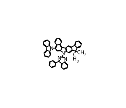 CC1(C)c2ccccc2-c2cc3c4c5ccccc5c(-n5c6ccccc6c6ccccc65)cc4n(-c4nc(-c5ccccc5)c5ccccc5n4)c3cc21